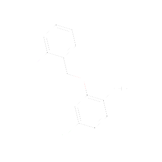 O=Cc1ccc(Cl)cc1OCc1ccccc1I